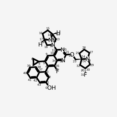 Oc1cc(-c2c(C3CC3)cc3c(N4C[C@H]5CC[C@@H](C4)N5)nc(OC[C@@]45CCCN4C[C@H](F)C5)nc3c2F)c2ccccc2c1